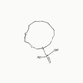 O=P(O)(O)N1CCCCCCCCCCC1